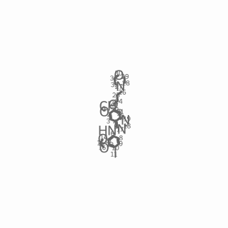 COc1cc2c(Nc3ccc(I)c4c3OCO4)ncnc2cc1OCCCN1CCOCC1